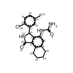 NC(=O)Nc1cc2c(c3c1C(c1cc(F)ccc1Cl)NC3=O)CCCC2